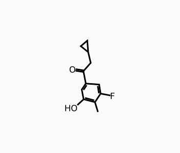 Cc1c(O)cc(C(=O)CC2CC2)cc1F